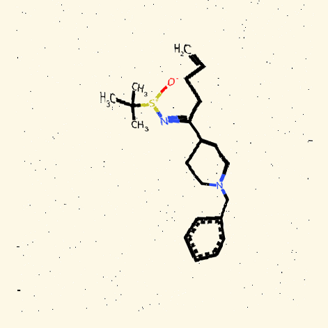 C=CCCC(=N[S+]([O-])C(C)(C)C)C1CCN(Cc2ccccc2)CC1